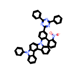 O=[N+]([O-])c1ccccc1-c1cc(-c2nc(-c3ccccc3)nc(-c3ccccc3)n2)ccc1-n1c2ccccc2c2c3c4ccccc4n(-c4ccccc4)c3ccc21